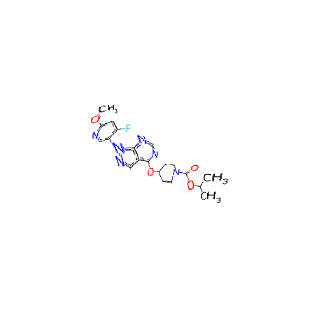 COc1cc(F)c(-n2ncc3c(OC4CCN(C(=O)OC(C)C)CC4)ncnc32)cn1